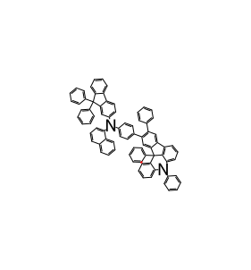 c1ccc(-c2cc3c(cc2-c2ccc(N(c4ccc5c(c4)C(c4ccccc4)(c4ccccc4)c4ccccc4-5)c4cccc5ccccc45)cc2)C2(c4ccccc4)c4ccccc4N(c4ccccc4)c4cccc-3c42)cc1